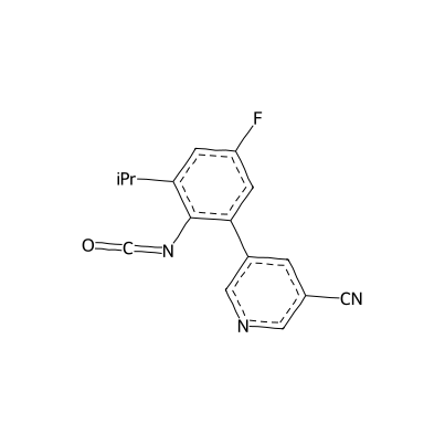 CC(C)c1cc(F)cc(-c2cncc(C#N)c2)c1N=C=O